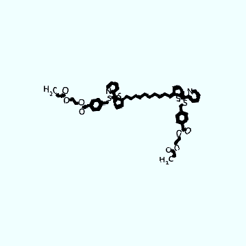 C=CC(=O)OCCOC(=O)c1ccc(CSC2(c3ccccn3)SC3(CCCCCCCCCCC45C=CC(C4)C(SCc4ccc(C(=O)OCCOC(=O)C=C)cc4)(c4ccccn4)S5)C=CC2C3)cc1